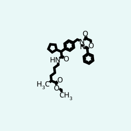 CCOC(=O)C(C)CCCCNC(=O)C(c1ccc(CN2N=C(c3ccccc3)OCC2=O)cc1)C1CCCC1